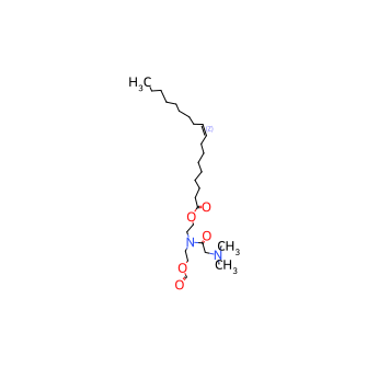 CCCCCCCC/C=C\CCCCCCCC(=O)OCCN(CCOC=O)C(=O)CN(C)C